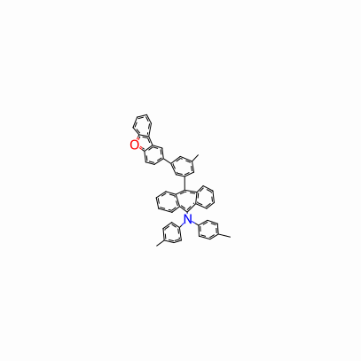 Cc1ccc(N(c2ccc(C)cc2)c2c3ccccc3c(-c3cc(C)cc(-c4ccc5oc6ccccc6c5c4)c3)c3ccccc23)cc1